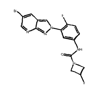 O=C(Nc1ccc(F)c(-n2cc3cc(Br)cnc3n2)c1)N1CC(F)C1